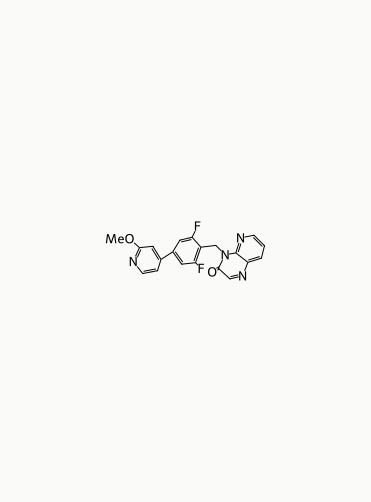 COc1cc(-c2cc(F)c(Cn3c(=O)cnc4cccnc43)c(F)c2)ccn1